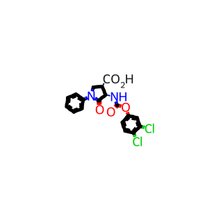 O=C(N[C@@H]1C(=O)N(c2ccccc2)C[C@@H]1C(=O)O)Oc1ccc(Cl)c(Cl)c1